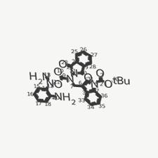 CC(C)(C)OC(=O)n1cc(CN(C(=O)ON(N)c2ccccc2N)N2C(=O)c3ccccc3C2=O)c2ccccc21